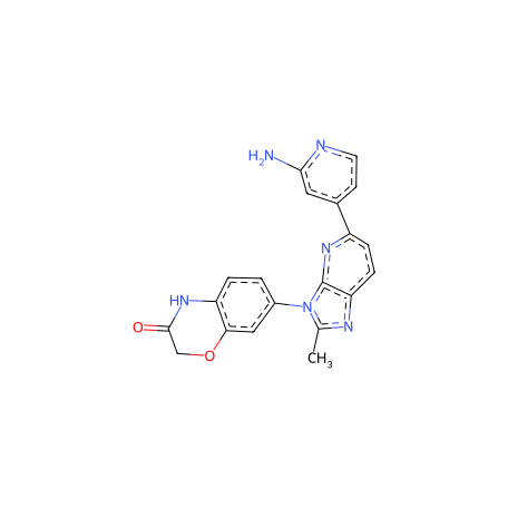 Cc1nc2ccc(-c3ccnc(N)c3)nc2n1-c1ccc2c(c1)OCC(=O)N2